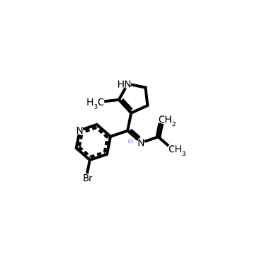 C=C(C)/N=C(\C1=C(C)NCC1)c1cncc(Br)c1